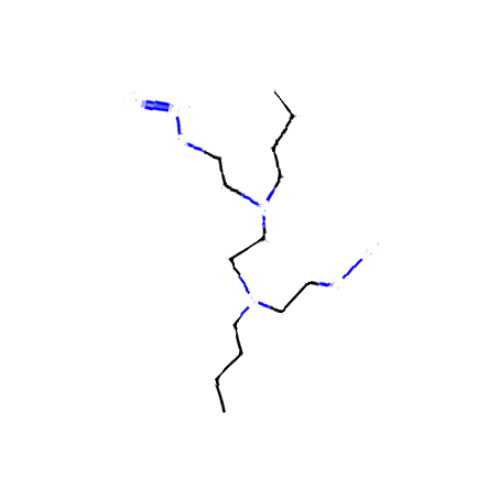 CCCCN(CCNN)CCN(CCCC)CCNN=N